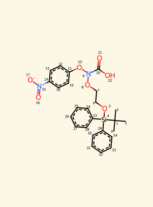 CC(C)(C)[Si](OCCON(Oc1ccc([N+](=O)[O-])cc1)C(=O)O)(c1ccccc1)c1ccccc1